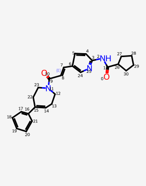 O=C(Nc1ccc(/C=C/C(=O)N2CCC=C(c3ccccc3)CC2)cn1)C1CCCC1